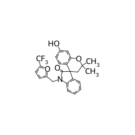 CC1(C)CC2(C(=O)N(Cc3ccc(C(F)(F)F)o3)c3ccccc32)c2ccc(O)cc2O1